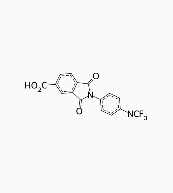 O=C(O)c1ccc2c(c1)C(=O)N(c1ccc(NC(F)(F)F)cc1)C2=O